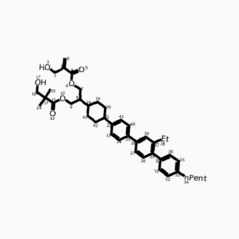 C=C(CO)C(=O)OCC(COC(=O)C(C)(C)CO)C1CCC(c2ccc(-c3ccc(-c4ccc(CCCCC)cc4)c(CC)c3)cc2)CC1